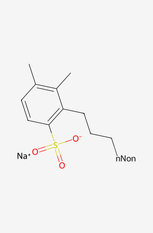 CCCCCCCCCCCCc1c(S(=O)(=O)[O-])ccc(C)c1C.[Na+]